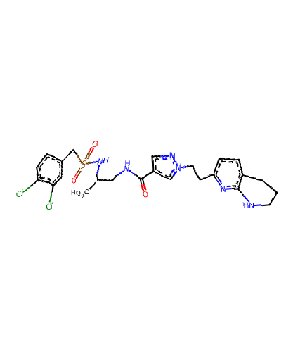 O=C(NC[C@H](NS(=O)(=O)Cc1ccc(Cl)c(Cl)c1)C(=O)O)c1cnn(CCc2ccc3c(n2)NCCC3)c1